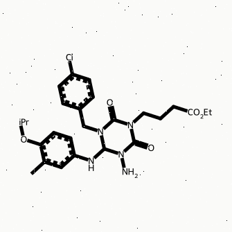 CCOC(=O)CCCN1C(=O)N(N)C(Nc2ccc(OC(C)C)c(C)c2)N(Cc2ccc(Cl)cc2)C1=O